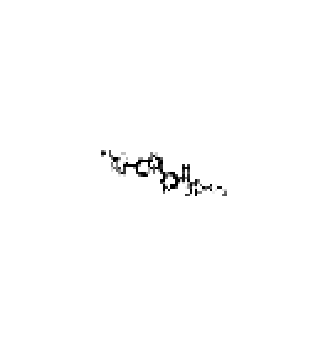 CCc1nnc(-c2ccn3c(-c4cncc(NC(=O)NCC(F)(F)F)c4)cnc3c2)o1